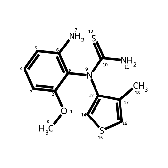 COc1cccc(N)c1N(C(N)=S)c1cscc1C